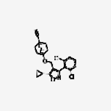 C#CC12CCC(OCc3c(-c4c(Cl)cccc4Cl)noc3C3CC3)(CC1)CC2